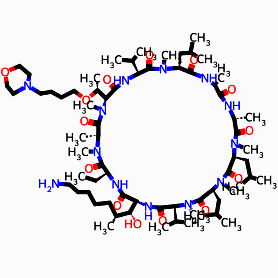 CC[C@@H]1NC(=O)[C@H]([C@H](O)[C@H](C)CCCCCN)NC(=O)[C@H](C(C)C)N(C)C(=O)[C@H](CC(C)C)N(C)C(=O)[C@H](CC(C)C)N(C)C(=O)[C@@H](C)NC(=O)[C@H](C)NC(=O)[C@H](CC(C)C)N(C)C(=O)[C@H](C(C)C)NC(=O)[C@H]([C@@H](C)OCCCCN2CCOCC2)N(C)C(=O)[C@@H](C)N(C)C1=O